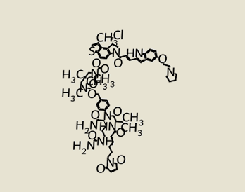 Cc1csc2c(OC(=O)N(C)CC(C)(C)CN(C)C(=O)OCc3ccc(N(C(=O)[C@@H](NC(=O)CCCCCN4C(=O)C=CC4=O)C(C)C)[C@@H](CCCNC(N)=O)C(N)=O)cc3)cc3c(c12)[C@H](CCl)CN3C(=O)/C=C/c1cc2cc(OCCN3CCCC3)ccc2[nH]1